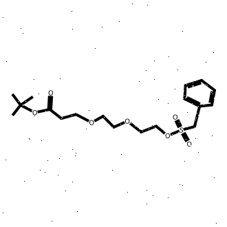 CC(C)(C)OC(=O)CCOCCOCCOS(=O)(=O)Cc1ccccc1